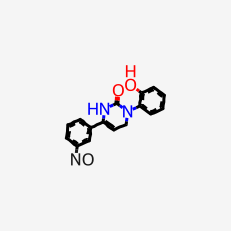 O=Nc1cccc(C2=CCN(c3ccccc3O)C(=O)N2)c1